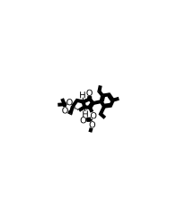 CCc1cc(C)cc(CC)c1C1=C(OC(=O)OC)[C@H]2C[C@@]3(COC(C)(C)O3)C[C@H]2C1=O